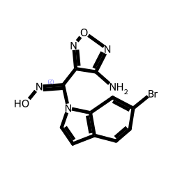 Nc1nonc1/C(=N/O)n1ccc2ccc(Br)cc21